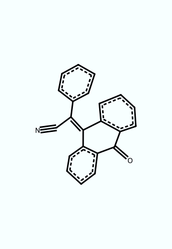 N#CC(=C1c2ccccc2C(=O)c2ccccc21)c1ccccc1